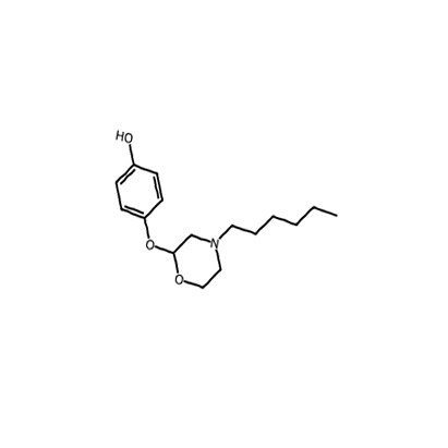 CCCCCCN1CCOC(Oc2ccc(O)cc2)C1